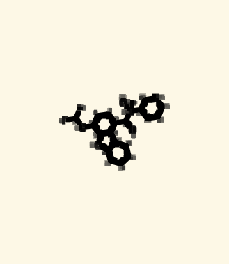 O=C(c1ccc(OC(F)F)c2oc3ccccc3c12)[NH+]([O-])c1cccnc1